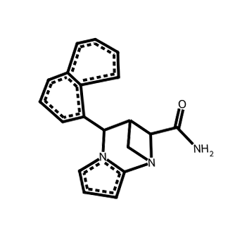 NC(=O)C1C2CN1c1cccn1C2c1cccc2ccccc12